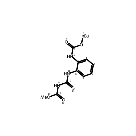 CCCCOC(=O)Nc1ccccc1NC(=S)NC(=O)OC